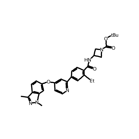 CCc1cc(-c2cc(Oc3ccc4c(C)nn(C)c4c3)ccn2)ccc1C(=O)NC1CN(C(=O)OC(C)(C)C)C1